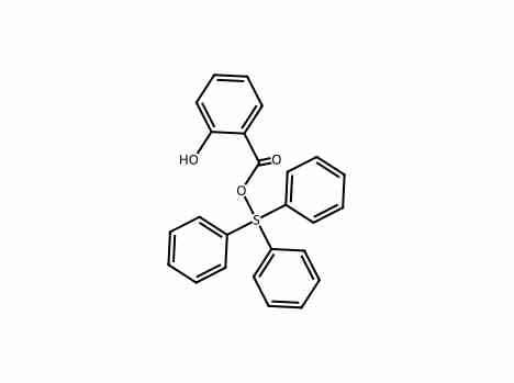 O=C(OS(c1ccccc1)(c1ccccc1)c1ccccc1)c1ccccc1O